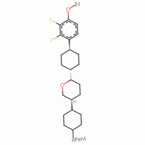 CCCCCC1CCC([C@@H]2CCC([C@H]3CC[C@H](c4ccc(OCC)c(F)c4F)CC3)OC2)CC1